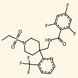 CCS(=O)(=O)N1CCC(CNC(=O)c2c(F)cc(F)cc2F)(c2ncccc2C(F)(F)F)CC1